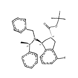 C[C@H](c1ccccc1)N(Cc1ccccc1)[C@@H]1c2cccc(F)c2C[C@H]1C(=O)OC(C)(C)C